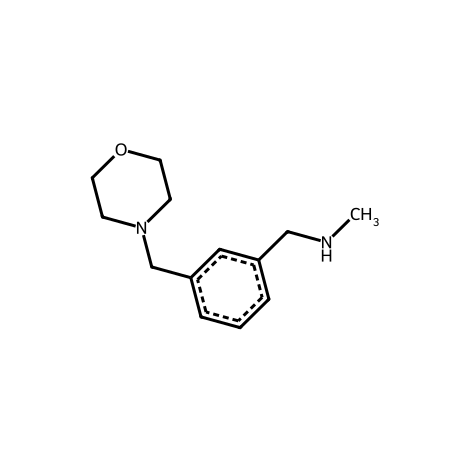 CNCc1cccc(CN2CCOCC2)c1